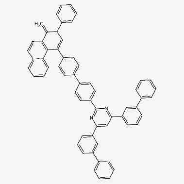 C=C1c2ccc3ccccc3c2C(c2ccc(-c3ccc(-c4nc(-c5cccc(-c6ccccc6)c5)cc(-c5cccc(-c6ccccc6)c5)n4)cc3)cc2)=CC1c1ccccc1